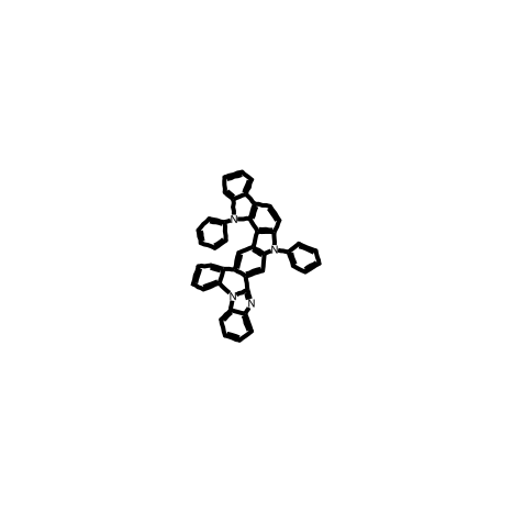 c1ccc(-n2c3cc4c(cc3c3c2ccc2c5ccccc5n(-c5ccccc5)c23)c2ccccc2n2c3ccccc3nc42)cc1